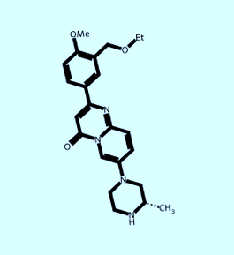 CCOCc1cc(-c2cc(=O)n3cc(N4CCN[C@@H](C)C4)ccc3n2)ccc1OC